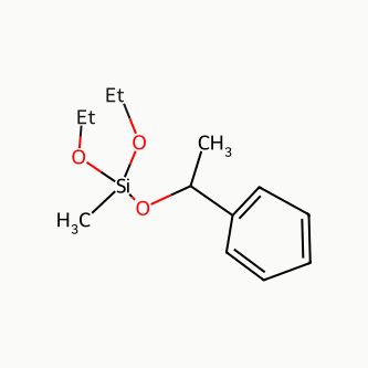 CCO[Si](C)(OCC)OC(C)c1ccccc1